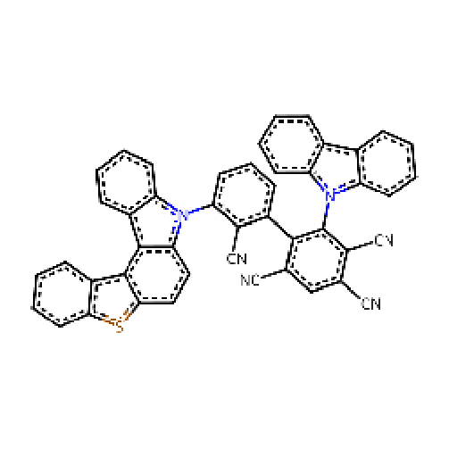 N#Cc1cc(C#N)c(-c2cccc(-n3c4ccccc4c4c5c(ccc43)sc3ccccc35)c2C#N)c(-n2c3ccccc3c3ccccc32)c1C#N